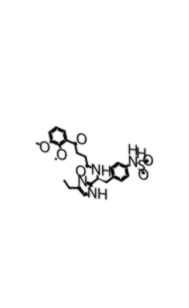 CCc1c[nH]c([C@H](Cc2ccc(N[SH](=O)=O)cc2)NC(=O)CCC(=O)c2cccc(OC)c2OC)n1